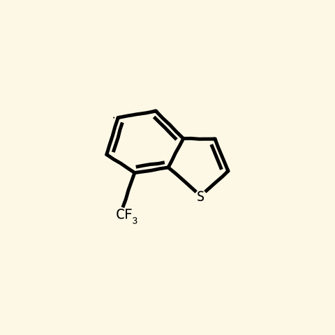 FC(F)(F)c1c[c]cc2ccsc12